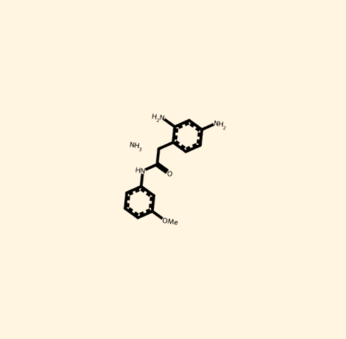 COc1cccc(NC(=O)Cc2ccc(N)cc2N)c1.N